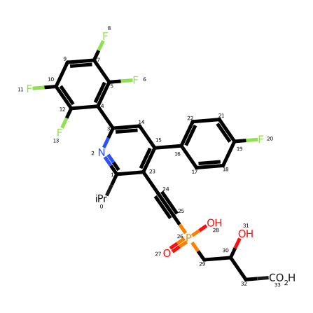 CC(C)c1nc(-c2c(F)c(F)cc(F)c2F)cc(-c2ccc(F)cc2)c1C#CP(=O)(O)CC(O)CC(=O)O